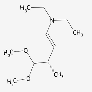 CCN(C=C[C@H](C)C(OC)OC)CC